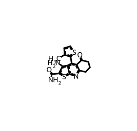 Cc1ccsc1-c1c2c(nc3sc(C(N)=O)c(N)c13)CCCC2=O